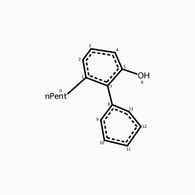 CCCCCc1cccc(O)c1-c1ccccc1